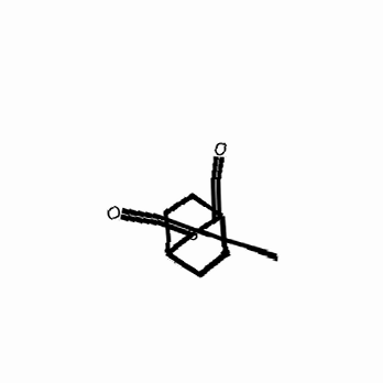 O=C1OC(=O)C2CCC1CC2